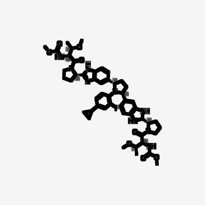 COC(=O)N[C@H](C(=O)N1CCC[C@H]1c1nc2cc([C@@H]3CC[C@@H](c4ccc5c(c4)NC([C@@H]4CCCN4C(=O)[C@@H](NC(=O)OC)[C@@H](C)OC)N5)N3c3ccc(C4CC4)cc3F)ccc2[nH]1)[C@@H](C)OC